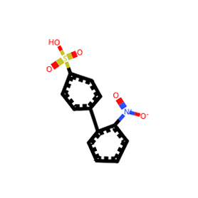 O=[N+]([O-])c1cc[c]cc1-c1c[c]c(S(=O)(=O)O)cc1